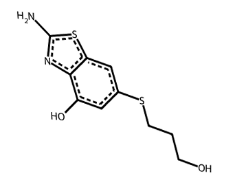 Nc1nc2c(O)cc(SCCCO)cc2s1